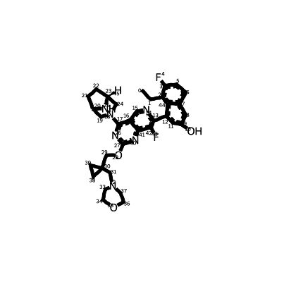 CCc1c(F)ccc2cc(O)cc(-c3ncc4c(N5CC6CC[C@H](C5)N6)nc(OCC5(CN6CCOCC6)CC5)nc4c3F)c12